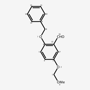 COCOc1ccc(OCc2ccccc2)c(C=O)c1